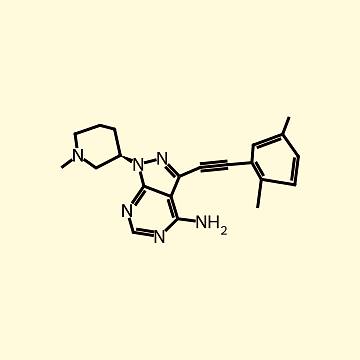 Cc1ccc(C)c(C#Cc2nn([C@@H]3CCCN(C)C3)c3ncnc(N)c23)c1